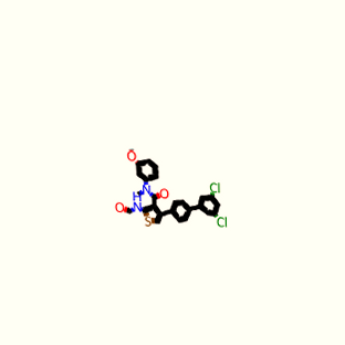 COc1cccc(N(C)C(=O)c2c(-c3ccc(-c4cc(Cl)cc(Cl)c4)cc3)csc2NC=O)c1